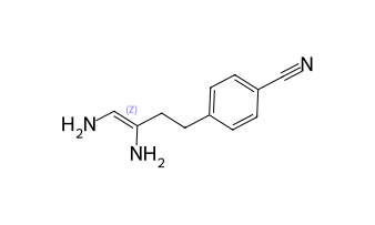 N#Cc1ccc(CC/C(N)=C/N)cc1